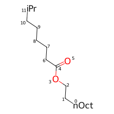 CCCCCCCCCCOC(=O)CCCCCC(C)C